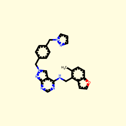 Cc1ccc2occc2c1CNc1ncnc2nn(Cc3ccc(Cn4cccn4)cc3)cc12